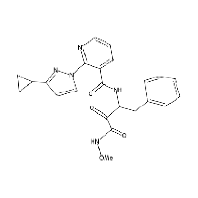 CONC(=O)C(=O)C(Cc1ccccc1)NC(=O)c1cccnc1-n1ccc(C2CC2)n1